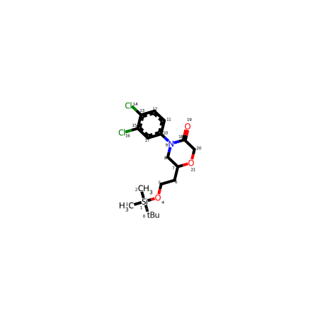 CC(C)(C)[Si](C)(C)OCCC1CN(c2ccc(Cl)c(Cl)c2)C(=O)CO1